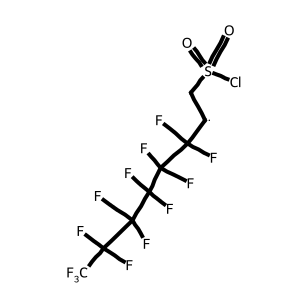 O=S(=O)(Cl)C[CH]C(F)(F)C(F)(F)C(F)(F)C(F)(F)C(F)(F)C(F)(F)F